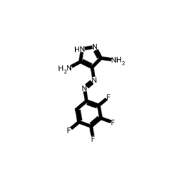 Nc1n[nH]c(N)c1N=Nc1cc(F)c(F)c(F)c1F